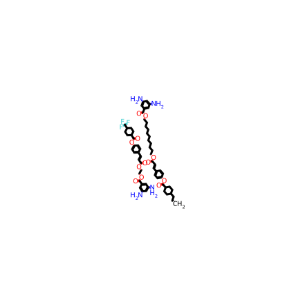 C=CCC1CCC(C(=O)Oc2ccc(C=CC(=O)OCCCCCCCCCCCOC(=O)c3cc(N)cc(N)c3)cc2)CC1.Nc1cc(N)cc(C(=O)OCCOC(=O)C=Cc2ccc(OC(=O)C3CCC(C(F)(F)F)CC3)cc2)c1